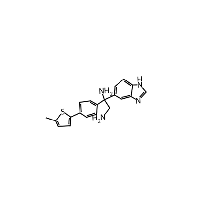 Cc1ccc(-c2ccc(C(N)(CN)c3ccc4[nH]cnc4c3)cc2)s1